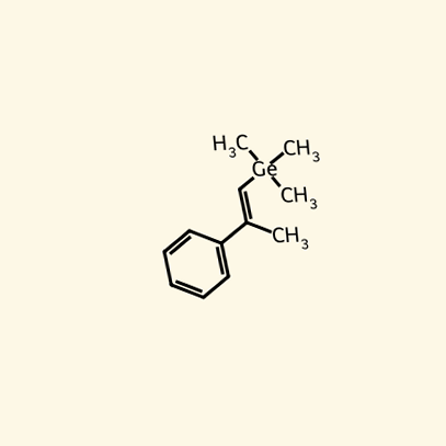 CC(=[CH][Ge]([CH3])([CH3])[CH3])c1ccccc1